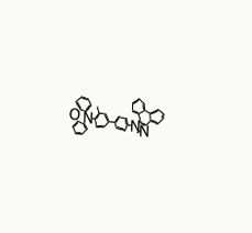 Cc1cc(-c2ccc(-n3cnc4c5ccccc5c5ccccc5c43)cc2)ccc1N1c2ccccc2Oc2ccccc21